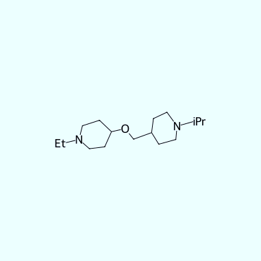 CCN1CCC(OCC2CCN(C(C)C)CC2)CC1